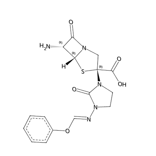 N[C@@H]1C(=O)N2C[C@@](C(=O)O)(N3CCN(N=COc4ccccc4)C3=O)S[C@H]12